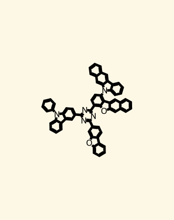 c1ccc(-n2c3ccccc3c3cc(-c4nc(-c5ccc6c(c5)oc5ccccc56)nc(-c5ccc(-n6c7ccccc7c7cc8ccccc8cc76)c6c5oc5cc7ccccc7cc56)n4)ccc32)cc1